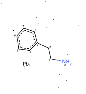 NCCc1ccccc1.[Pb]